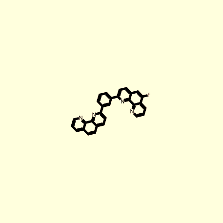 Fc1cc2ccc(-c3cccc(-c4ccc5ccc6cccnc6c5n4)c3)nc2c2ncccc12